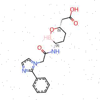 O=C(O)C[C@@H]1CC[C@H](NC(=O)Cn2ccnc2-c2ccccc2)BO1